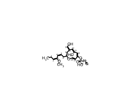 CC/C=C(\C=C/CC1CC(=C/O)/C=C(O)/C=C(OP(=O)(O)N=O)\C=C\O1)OC